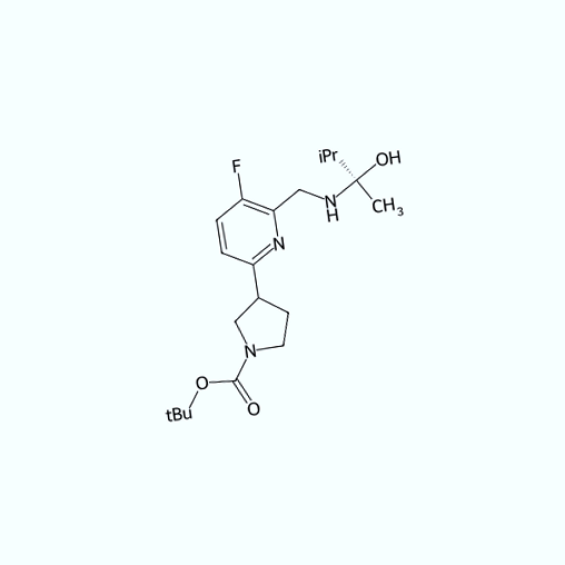 CC(C)[C@@](C)(O)NCc1nc(C2CCN(C(=O)OC(C)(C)C)C2)ccc1F